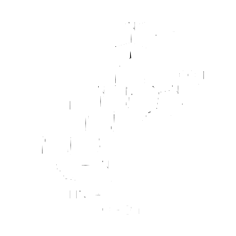 C[C@@H]1[C@H](Oc2nc(OC[C@@]34CCCN3C[C@H](F)C4)nc3c(F)c(-c4ccc(F)c5sc(NC(=O)OC(C)(C)C)c(C#N)c45)c(C(F)(F)F)cc23)CCN1C(=O)O